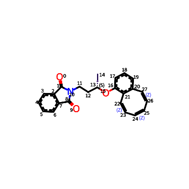 O=C1c2ccccc2C(=O)N1CC[C@H](I)Oc1cccc2c1\C=C/C=C\C=C/2